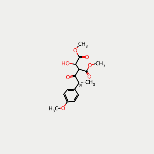 COC(=O)C(O)C(C(=O)OC)C(=O)[C@H](C)c1ccc(OC)cc1